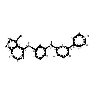 Cc1noc2ncnc(Nc3cccc(Nc4nccc(-c5ccncc5)n4)c3)c12